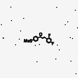 CSc1ccc(C(=O)/C=C/c2ccc(F)cc2F)cc1